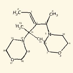 CC=C(C(C)N1CCOCC1)C(C)(C)N1CCOCC1